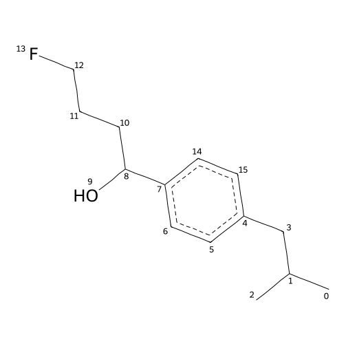 CC(C)Cc1ccc(C(O)CCCF)cc1